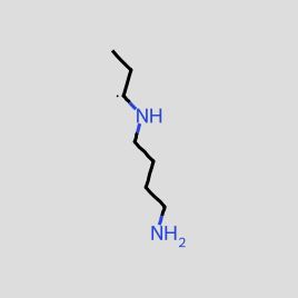 CC[CH]NCCCCN